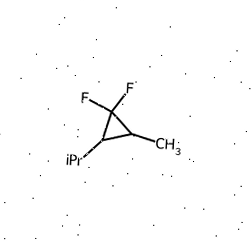 CC(C)C1C(C)C1(F)F